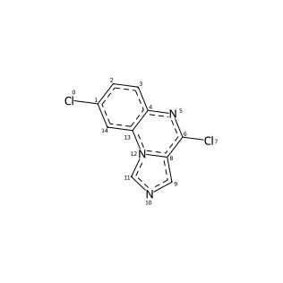 Clc1ccc2nc(Cl)c3cncn3c2c1